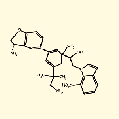 CC(C)(CN)C1=CC(c2ccc3c(c2)[C@H](N)CO3)=CC(C)(C(O)Cn2ccc3cccc(C(=O)O)c32)C1